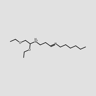 CCCCCCN=CCC[SiH2]C(COCC)OCC